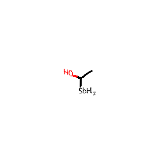 C[CH](O)[SbH2]